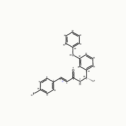 C[C@H](NC(=O)/C=C/c1ccc(F)cc1)c1cccc(Oc2ccccn2)c1